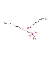 CCCCCCCCCCCCCCCCOCC(COP(=O)(O)OCCC)OCCCCCCC(=O)O